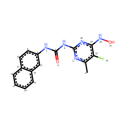 Cc1nc(NC(=O)Nc2ccc3ccccc3c2)nc(NO)c1F